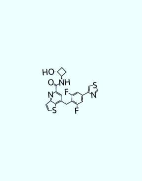 O=C(N[C@@H]1CC[C@H]1O)c1cc(Cc2c(F)cc(-c3cscn3)cc2F)c2sccc2n1